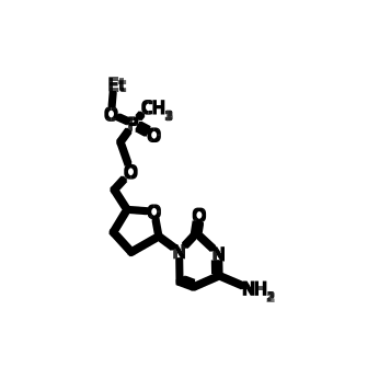 CCOP(C)(=O)COCC1CCC(n2ccc(N)nc2=O)O1